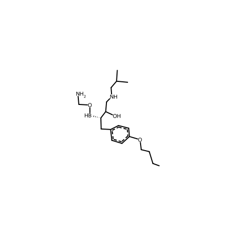 CCCCOc1ccc(C[C@H](BOCN)C(O)CNCC(C)C)cc1